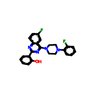 Oc1ccccc1-c1nc(N2CCN(c3ccccc3F)CC2)c2cc(F)ccc2n1